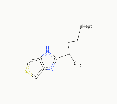 CCCCCCCCCC(C)c1nc2cscc2[nH]1